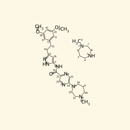 CN1CCCNCC1.COc1cc(CCc2cc(NC(=O)c3cnc(N4CCCN(C)CC4)cn3)[nH]n2)cc(OC)c1